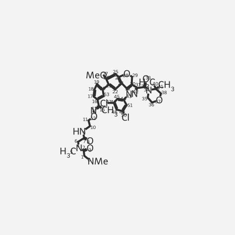 CNCC(=O)N(C)CC(=O)NCCO/N=C(\C)c1cccc(-c2cc3c(cc2OC)OCc2c(C(=O)N4CCOCC4(C)C)nn(-c4cc(Cl)cc(Cl)c4)c2-3)c1